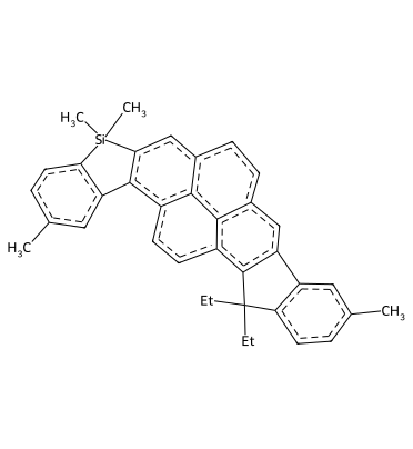 CCC1(CC)c2ccc(C)cc2-c2cc3ccc4cc5c(c6ccc(c21)c3c46)-c1cc(C)ccc1[Si]5(C)C